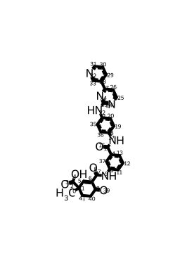 CC1(C(=O)O)C=C(C(=O)Nc2cccc(C(=O)Nc3ccc(Nc4nccc(-c5cccnc5)n4)cc3)c2)C(=O)CC1